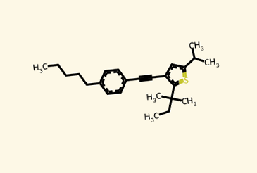 CCCCCc1ccc(C#Cc2cc(C(C)C)sc2C(C)(C)CC)cc1